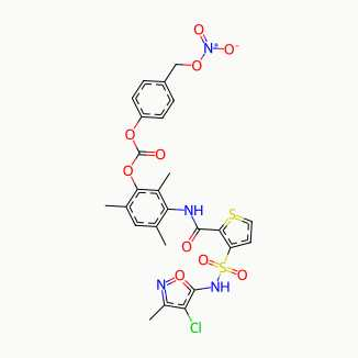 Cc1cc(C)c(OC(=O)Oc2ccc(CO[N+](=O)[O-])cc2)c(C)c1NC(=O)c1sccc1S(=O)(=O)Nc1onc(C)c1Cl